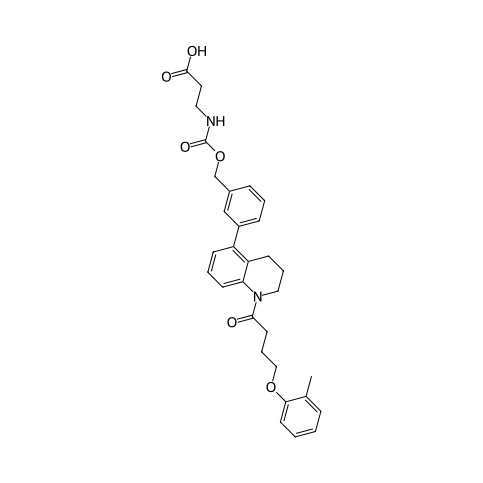 Cc1ccccc1OCCCC(=O)N1CCCc2c(-c3cccc(COC(=O)NCCC(=O)O)c3)cccc21